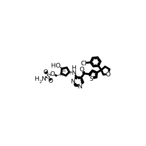 NS(=O)(=O)OC[C@H]1C[C@@H](Nc2ncncc2C(=O)c2cc(C3(c4cccc(Cl)c4)CCOC3)cs2)C[C@@H]1O